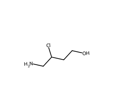 NCC(Cl)CCO